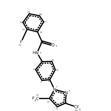 O=C(Nc1ccc(-n2nc(C(F)(F)F)cc2C(F)(F)F)cc1)c1ccccc1F